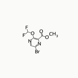 COC(=O)c1nc(Br)cnc1OC(F)F